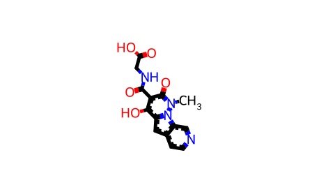 Cn1c(=O)c(C(=O)NCC(=O)O)c(O)c2cc3ccncc3n21